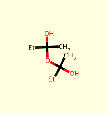 CCC(C)(O)OC(C)(O)CC